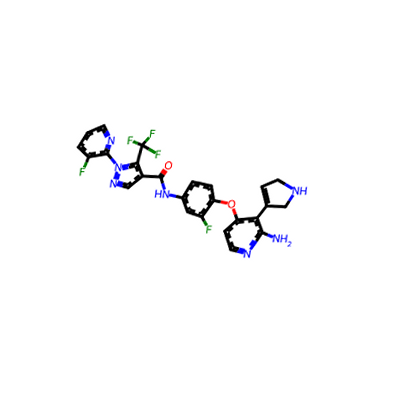 Nc1nccc(Oc2ccc(NC(=O)c3cnn(-c4ncccc4F)c3C(F)(F)F)cc2F)c1C1=CCNC1